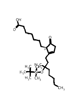 CCCCCC(C)(CCC1=CCC(=O)[C@@H]1CCCCCCC(=O)O)O[Si](C)(C)C(C)(C)C